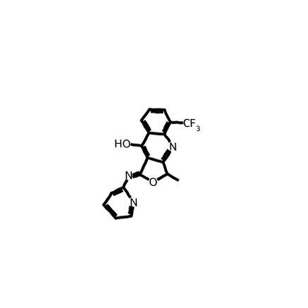 CC1OC(=Nc2ccccn2)c2c1nc1c(C(F)(F)F)cccc1c2O